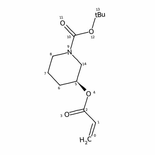 C=CC(=O)O[C@H]1CCCN(C(=O)OC(C)(C)C)C1